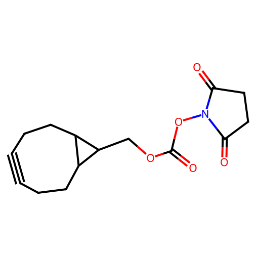 O=C(OCC1C2CCC#CCCC21)ON1C(=O)CCC1=O